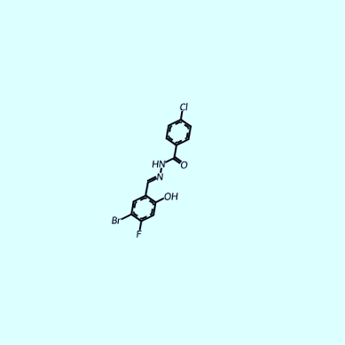 O=C(NN=Cc1cc(Br)c(F)cc1O)c1ccc(Cl)cc1